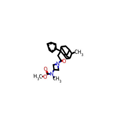 COC(=O)N(C)C1CN(C(=O)CC2(c3ccccc3)C3CC4CC2CC(C3)C4C)C1